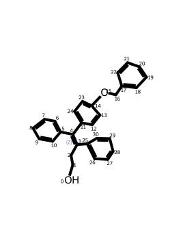 OCC/C(=C(\c1ccccc1)c1ccc(OCc2ccccc2)cc1)c1ccccc1